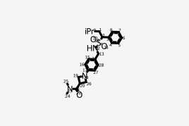 CC(C)CC(c1ccccc1)S(=O)(=O)NCc1ccc(N2CC(C(=O)N(C)C)C2)cc1